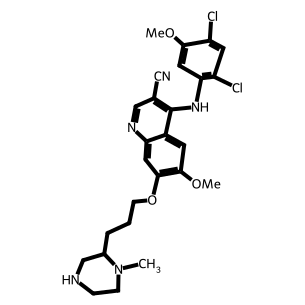 COc1cc(Nc2c(C#N)cnc3cc(OCCCC4CNCCN4C)c(OC)cc23)c(Cl)cc1Cl